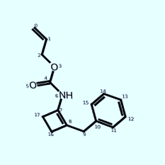 C=CCOC(=O)NC1=C(Cc2ccccc2)CC1